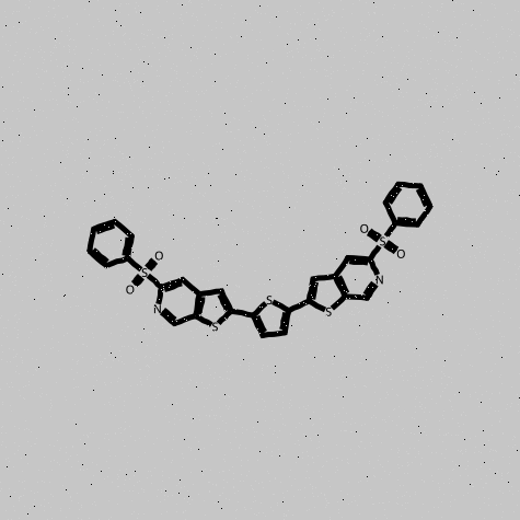 O=S(=O)(c1ccccc1)c1cc2cc(-c3ccc(-c4cc5cc(S(=O)(=O)c6ccccc6)ncc5s4)s3)sc2cn1